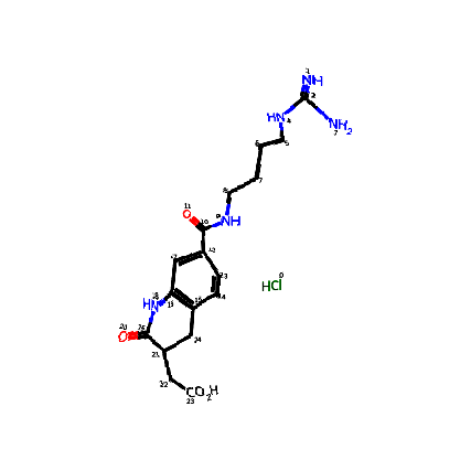 Cl.N=C(N)NCCCCNC(=O)c1ccc2c(c1)NC(=O)C(CC(=O)O)C2